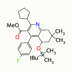 COC(=O)c1c(C2CCCC2)nc2c(c1-c1ccc(F)cc1)C(O[Si](C)(C)C(C)(C)C)CC(C)(C)C2